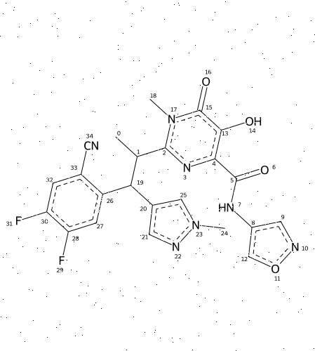 CC(c1nc(C(=O)Nc2cnoc2)c(O)c(=O)n1C)C(c1cnn(C)c1)c1cc(F)c(F)cc1C#N